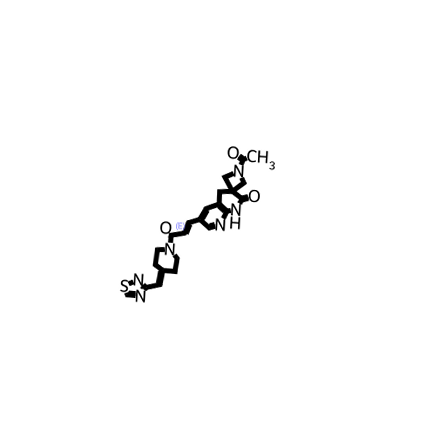 CC(=O)N1CC2(Cc3cc(/C=C/C(=O)N4CCC(=Cc5ncsn5)CC4)cnc3NC2=O)C1